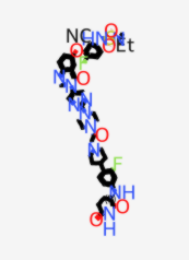 CCN(C)S(=O)(=O)Nc1ccc(F)c(Oc2ccc3ncn(-c4cnc(N5CCN(C(=O)CN6CCC(c7ccc(N[C@@H]8CCC(=O)NC8=O)cc7F)CC6)CC5)nc4)c(=O)c3c2)c1C#N